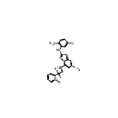 Cc1cc(NCC(F)(F)c2cccc[n+]2[O-])n2nc(Nc3cc(Cl)ccc3C)nc2n1